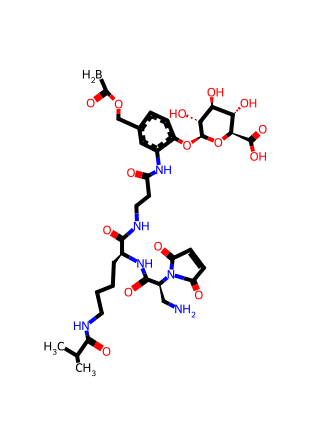 BC(=O)OCc1ccc(O[C@@H]2O[C@H](C(=O)O)[C@@H](O)[C@H](O)[C@H]2O)c(NC(=O)CCNC(=O)[C@H](CCCCNC(=O)C(C)C)NC(=O)[C@H](CN)N2C(=O)C=CC2=O)c1